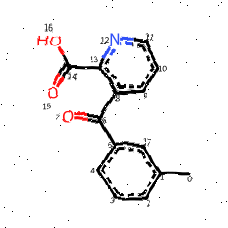 Cc1cccc(C(=O)c2cccnc2C(=O)O)c1